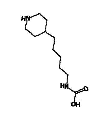 O=C(O)NCCCCCC1CCNCC1